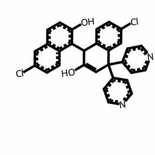 OC1=CC(c2ccncc2)(c2ccncc2)c2cc(Cl)ccc2C1c1c(O)ccc2cc(Cl)ccc12